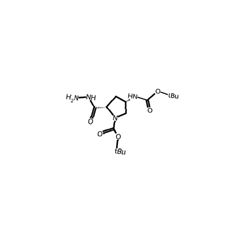 CC(C)(C)OC(=O)N[C@H]1C[C@@H](C(=O)NN)N(C(=O)OC(C)(C)C)C1